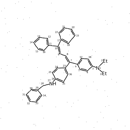 CCN(CC)c1ccc(C(=CC=C(c2ccccc2)c2ccccc2)c2ccc(NCc3ccccc3)cc2)cc1